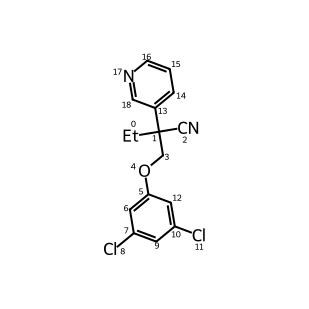 CCC(C#N)(COc1cc(Cl)cc(Cl)c1)c1cccnc1